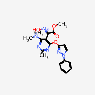 COC(=O)/C(=N/O)c1c(Oc2ccn(-c3ccccc3)n2)nc(C)nc1N(C)C